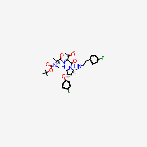 CO[C@H](C)[C@H](NC(=O)[C@H](C)N(C)C(=O)OC(C)(C)C)C(=O)N1C[C@@H](Oc2ccc(F)cc2)C[C@H]1CNCCc1ccc(F)cc1